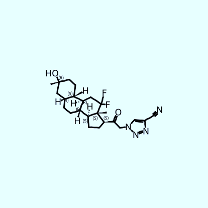 C[C@@]1(O)CC[C@H]2[C@H](CC[C@@H]3[C@@H]2CC(F)(F)[C@]2(C)[C@@H](C(=O)Cn4cc(C#N)nn4)CC[C@@H]32)C1